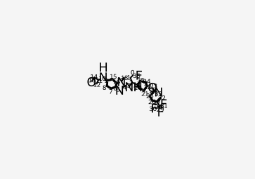 CCC(Nc1nc2ccc(NC3COC3)cc2n1C)c1ccc(Oc2ccc(C(F)(F)F)cn2)cc1F